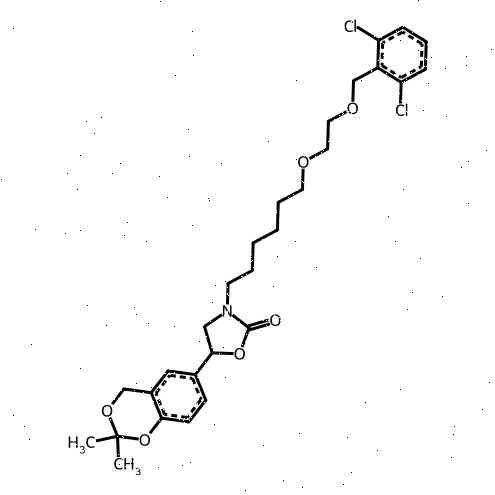 CC1(C)OCc2cc(C3CN(CCCCCCOCCOCc4c(Cl)cccc4Cl)C(=O)O3)ccc2O1